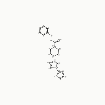 O=C(CCc1ccccc1)N1CCC(c2nc(-c3cccs3)no2)CC1